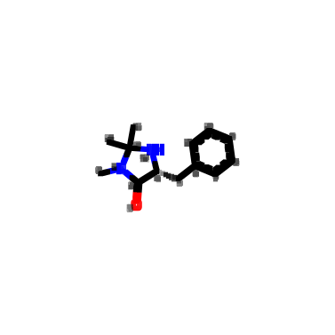 CN1C(=O)[C@@H](Cc2ccccc2)NC1(C)C